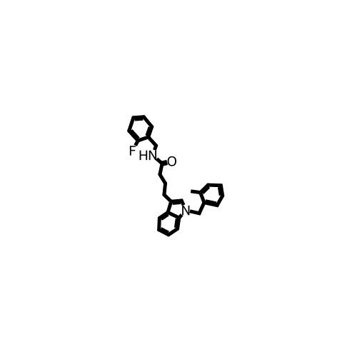 Cc1ccccc1Cn1cc(CCCC(=O)NCc2ccccc2F)c2ccccc21